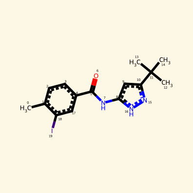 Cc1ccc(C(=O)Nc2cc(C(C)(C)C)n[nH]2)cc1I